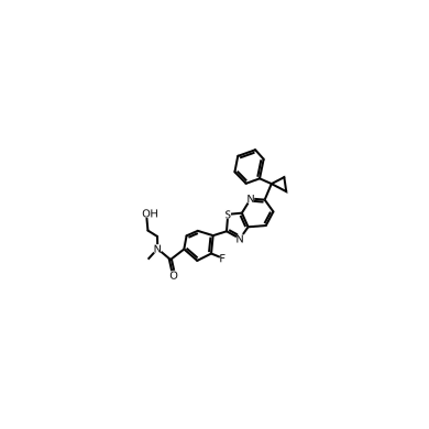 CN(CCO)C(=O)c1ccc(-c2nc3ccc(C4(c5ccccc5)CC4)nc3s2)c(F)c1